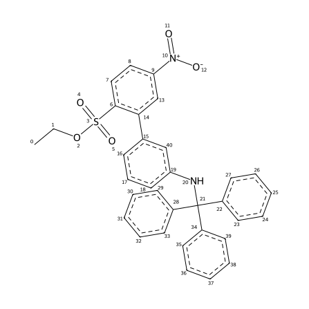 CCOS(=O)(=O)c1ccc([N+](=O)[O-])cc1-c1cccc(NC(c2ccccc2)(c2ccccc2)c2ccccc2)c1